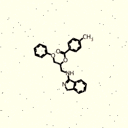 Cc1ccc(C(=O)OC(CNC2=NCc3ccccc32)COc2ccccc2)cc1